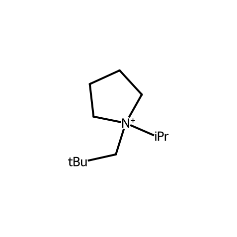 CC(C)[N+]1(CC(C)(C)C)CCCC1